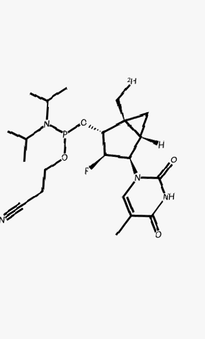 [2H]C[C@@]12C[C@@H]1[C@@H](n1cc(C)c(=O)[nH]c1=O)[C@@H](F)[C@@H]2OP(OCCC#N)N(C(C)C)C(C)C